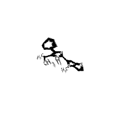 CC(C)c1[nH]c(-c2cc3sccc3n2C)nc1-c1ccccc1